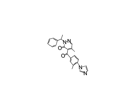 Cc1cc(C(=O)c2c(C)cnn(C(C)c3ccccc3)c2=O)ccc1-n1ccnc1